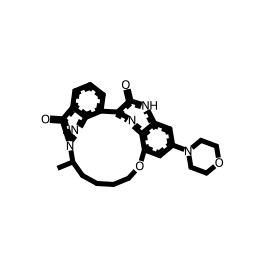 CC1CCCCOc2cc(N3CCOCC3)cc3[nH]c(=O)c(nc23)-c2cccc3c(=O)n1[nH]c23